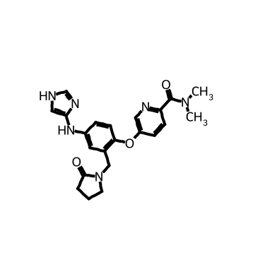 CN(C)C(=O)c1ccc(Oc2ccc(Nc3c[nH]cn3)cc2CN2CCCC2=O)cn1